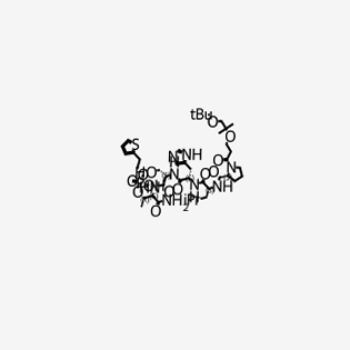 CC(C)C[C@H](NC(=O)[C@@H]1CCCN1C(=O)CCOC(C)(C)COC(C)(C)C)C(=O)N[C@@H](Cc1cnc[nH]1)C(=O)N[C@@H](CO)C(=O)N[C@H](C(N)=O)[C@@H](C)OP(=O)(O)OCCc1cccs1